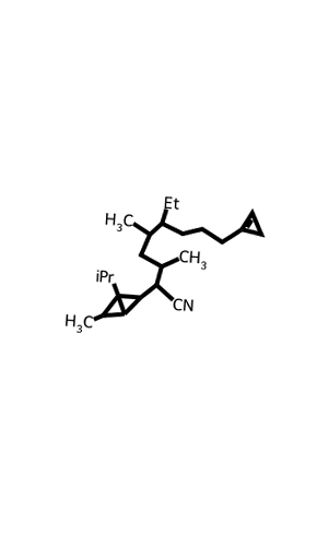 CCC(CCCC1=CC1)C(C)CC(C)C(C#N)C1C2C(C)C12C(C)C